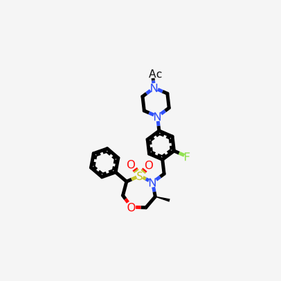 CC(=O)N1CCN(c2ccc(CN3[C@@H](C)COCC(c4ccccc4)S3(=O)=O)c(F)c2)CC1